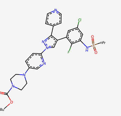 CCCS(=O)(=O)Nc1cc(Cl)cc(-c2cn(-c3ccc(N4CCN(C(=O)OC(C)(C)C)CC4)cn3)nc2-c2ccncc2)c1F